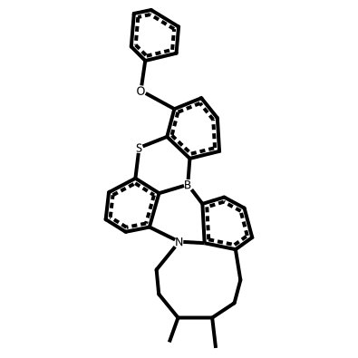 CC1CCc2cccc3c2N(CCC1C)c1cccc2c1B3c1cccc(Oc3ccccc3)c1S2